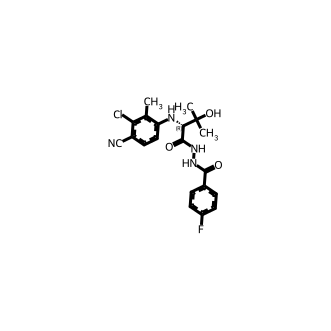 Cc1c(N[C@@H](C(=O)NNC(=O)c2ccc(F)cc2)C(C)(C)O)ccc(C#N)c1Cl